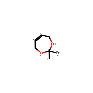 CCC1(C)OCC=CCO1